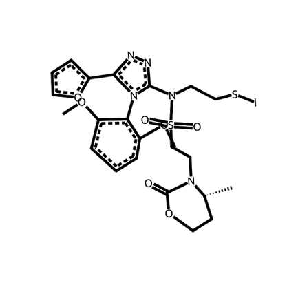 COc1cccc(OC)c1-n1c(-c2ccco2)nnc1N(CCSI)S(=O)(=O)CCN1C(=O)OCC[C@H]1C